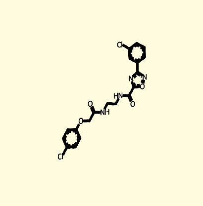 O=C(COc1ccc(Cl)cc1)NCCNC(=O)c1nc(-c2cccc(Cl)c2)no1